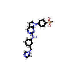 CS(=O)(=O)c1ccc(-n2ccc3cnc(Nc4cccc(Cn5ccnc5)c4)nc32)cc1